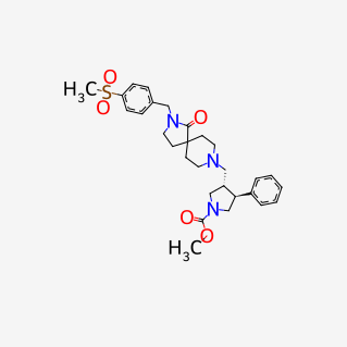 COC(=O)N1C[C@H](CN2CCC3(CC2)CCN(Cc2ccc(S(C)(=O)=O)cc2)C3=O)[C@@H](c2ccccc2)C1